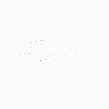 CCNSN1CCN(C)CC1